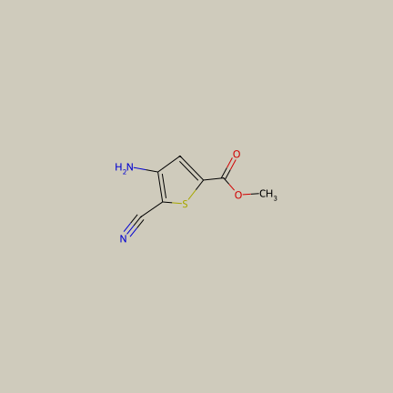 COC(=O)c1cc(N)c(C#N)s1